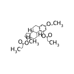 CCOc1cc2c(c(OC(=O)CC)c1)[C@H]1CC[C@]3(C)C(OC(=O)CC)=CC[C@H]3[C@@H]1CC2